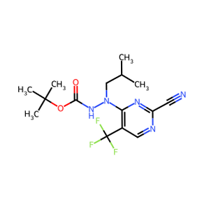 CC(C)CN(NC(=O)OC(C)(C)C)c1nc(C#N)ncc1C(F)(F)F